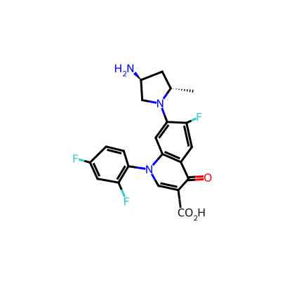 C[C@H]1C[C@H](N)CN1c1cc2c(cc1F)c(=O)c(C(=O)O)cn2-c1ccc(F)cc1F